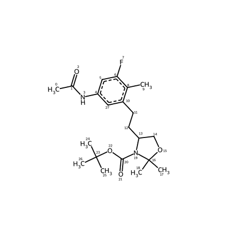 CC(=O)Nc1cc(F)c(C)c(CCC2COC(C)(C)N2C(=O)OC(C)(C)C)c1